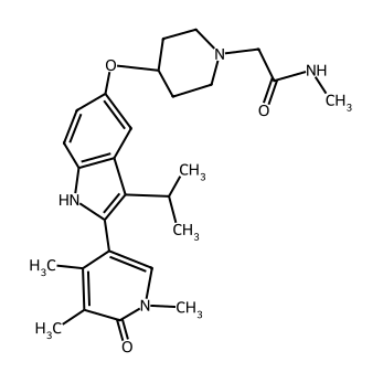 CNC(=O)CN1CCC(Oc2ccc3[nH]c(-c4cn(C)c(=O)c(C)c4C)c(C(C)C)c3c2)CC1